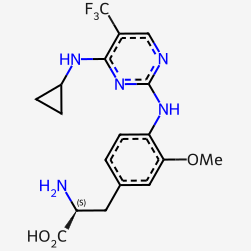 COc1cc(C[C@H](N)C(=O)O)ccc1Nc1ncc(C(F)(F)F)c(NC2CC2)n1